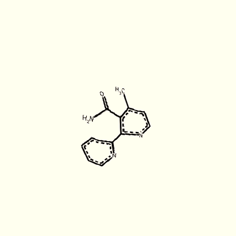 Cc1ccnc(-c2ccccn2)c1C(N)=O